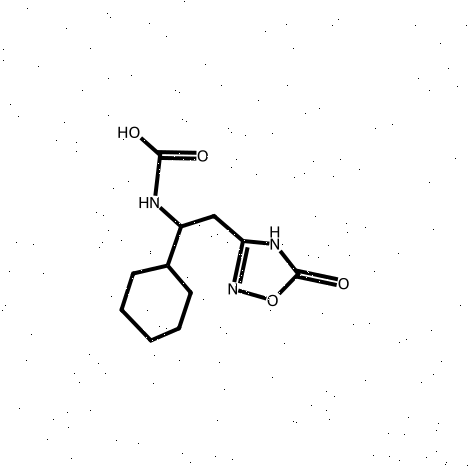 O=C(O)NC(Cc1noc(=O)[nH]1)C1CCCCC1